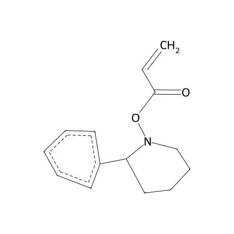 C=CC(=O)ON1CCCCC1c1ccccc1